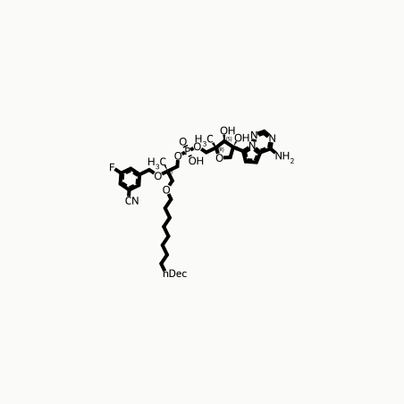 CCCCCCCCCCCCCCCCCCOC[C@](C)(COP(=O)(O)OC[C@@]1(C)OC[C@](O)(c2ccc3c(N)ncnn23)[C@@H]1O)OCc1cc(F)cc(C#N)c1